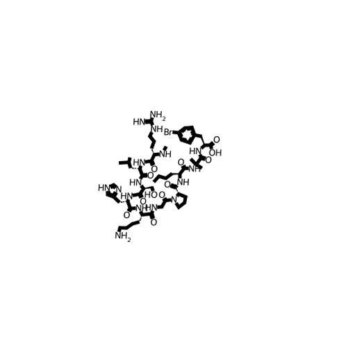 CCCC[C@H](NC(=O)[C@@H]1CCCN1C(=O)CNC(=O)[C@H](CCCCN)NC(=O)[C@H](Cc1c[nH]cn1)NC(=O)[C@H](CO)NC(=O)[C@H](CC(C)C)NC(=O)[C@H](CCCNC(=N)N)NC)C(=O)NC(C)(C)C(=O)N[C@@H](Cc1ccc(Br)cc1)C(=O)O